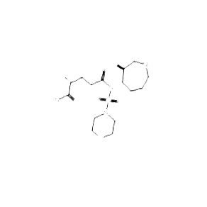 C[C@@H](C[CH]C(=O)N([C@H]1CCCNCC1=O)S(=O)(=O)N1CCOCC1)C(N)=O